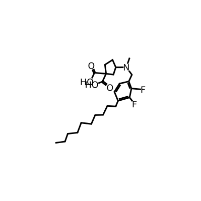 CCCCCCCCCCc1ccc(CN(C)C2CCC(C(=O)O)(C(=O)O)C2)c(F)c1F